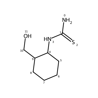 NC(=S)NC1CCCCC1CO